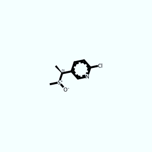 C[C@@H](c1ccc(Cl)nc1)[S+](C)[O-]